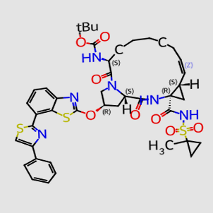 CC(C)(C)OC(=O)N[C@H]1CCCCC/C=C\[C@@H]2C[C@@]2(C(=O)NS(=O)(=O)C2(C)CC2)NC(=O)[C@@H]2C[C@@H](Oc3nc4cccc(-c5nc(-c6ccccc6)cs5)c4s3)CN2C1=O